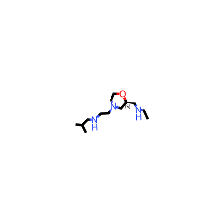 CCNC[C@H]1CN(CCNCC(C)C)CCO1